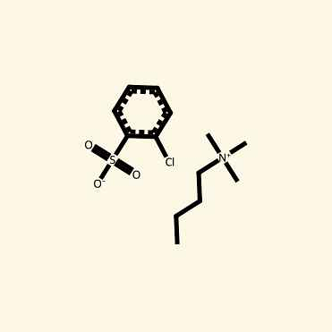 CCCC[N+](C)(C)C.O=S(=O)([O-])c1ccccc1Cl